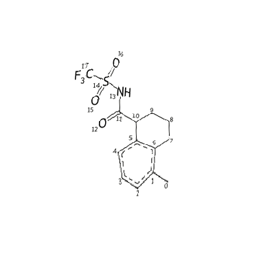 Cc1cccc2c1CCCC2C(=O)NS(=O)(=O)C(F)(F)F